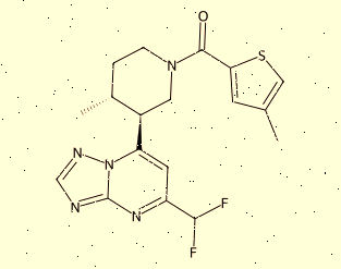 Cc1csc(C(=O)N2CC[C@@H](C)[C@H](c3cc(C(F)F)nc4ncnn34)C2)c1